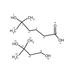 CC(C)(O)CCCC(=O)O.CC(C)(O)CCO